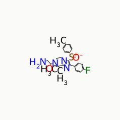 Cc1ccc([S+]([O-])c2c(-c3ccc(F)cc3)nc3n2CCN(C(=O)CN)C3(C)C)cc1